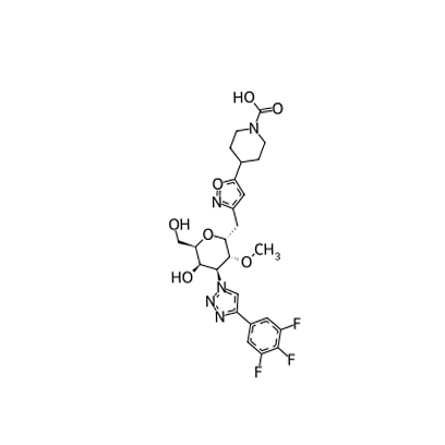 CO[C@@H]1[C@@H](n2cc(-c3cc(F)c(F)c(F)c3)nn2)[C@@H](O)[C@@H](CO)O[C@@H]1Cc1cc(C2CCN(C(=O)O)CC2)on1